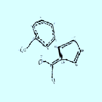 Cc1ccccc1.ClC(Cl)=C1C=CC=C1